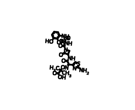 CC(C)(O/N=C(\C(=O)NC1CN(C(=O)NS(=O)(=O)Nc2cccc(O)c2O)C1=O)c1csc(N)n1)C(=O)O